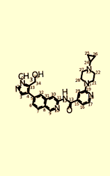 Cn1ncc(-c2ccc3cnc(NC(=O)c4ccnc(N5CCN(C6CC6)CC5)c4)cc3c2)c1CO